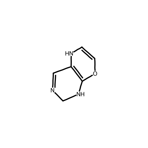 C1=COC2=C(C=NCN2)N1